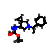 CC(c1ccccc1)N1CC(NC(=O)OC(C)(C)C)C2(CC2)C1